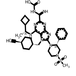 C#C[C@H]1CC[C@H](Cn2c(N3CCN(S(C)(=O)=O)C[C@H]3c3ccccc3)nc3nc(C(=N)NC(=O)O)nc(N[C@H](C)C4CCC4)c32)CC1